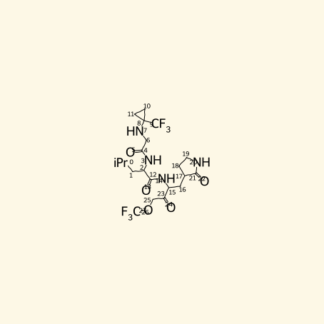 CC(C)CC(NC(=O)CNC1(C(F)(F)F)CC1)C(=O)NC(CC1CCNC1=O)C(=O)COC(F)(F)F